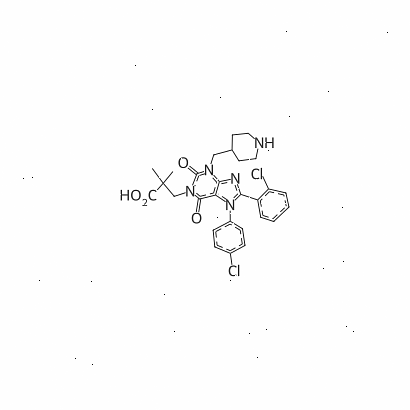 CC(C)(Cn1c(=O)c2c(nc(-c3ccccc3Cl)n2-c2ccc(Cl)cc2)n(CC2CCNCC2)c1=O)C(=O)O